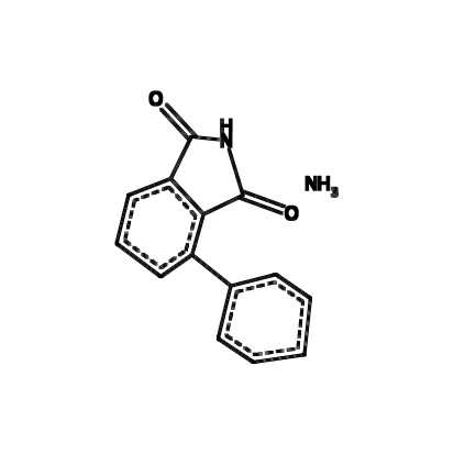 N.O=C1NC(=O)c2c1cccc2-c1ccccc1